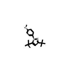 COc1ccc(-n2nc(C(C)(C)C)cc2C(C)(C)C)cc1